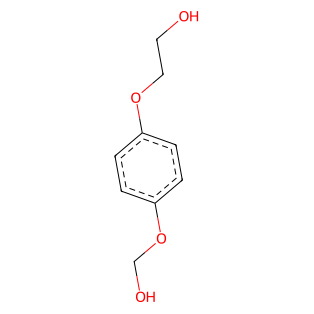 OCCOc1ccc(OCO)cc1